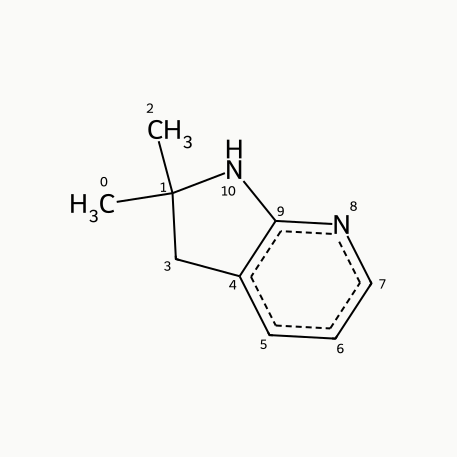 CC1(C)Cc2cccnc2N1